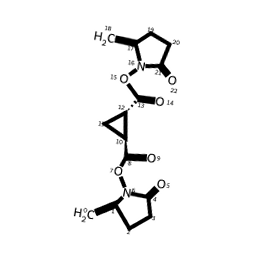 C=C1CCC(=O)N1OC(=O)[C@H]1C[C@@H]1C(=O)ON1C(=C)CCC1=O